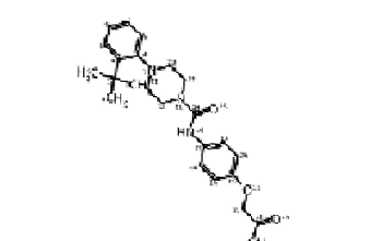 CC(C)(C)c1ccccc1N1CCN(C(=O)Nc2ccc(OCC(=O)O)cc2)CC1